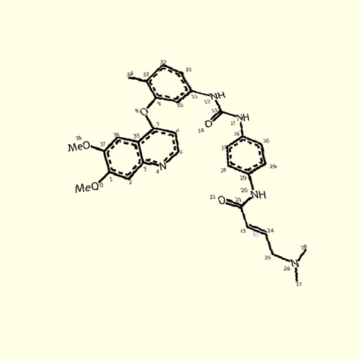 COc1cc2nccc(Oc3cc(NC(=O)Nc4ccc(NC(=O)/C=C/CN(C)C)cc4)ccc3C)c2cc1OC